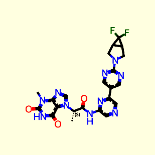 C[C@@H](C(=O)Nc1cncc(-c2cnc(N3CC4C(C3)C4(F)F)nc2)n1)n1cnc2c1c(=O)[nH]c(=O)n2C